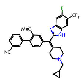 COc1cc(C(=C2CCN(CC3CC3)CC2)c2nc3cc(F)c(C(F)(F)F)cc3[nH]2)ccc1-c1cccc(C#N)c1